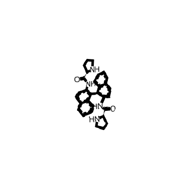 O=C(Nc1ccc2ccccc2c1-c1c(NC(=O)[C@@H]2CCCN2)ccc2ccccc12)[C@@H]1CCCN1